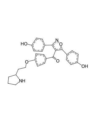 O=C(c1ccc(OCCC2CCCN2)cc1)c1c(-c2ccc(O)cc2)noc1-c1ccc(O)cc1